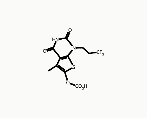 Cc1c(OC(=O)O)sc2c1c(=O)[nH]c(=O)n2CCC(F)(F)F